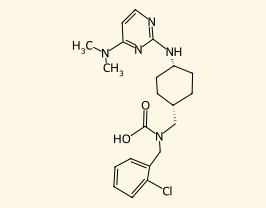 CN(C)c1ccnc(N[C@H]2CC[C@@H](CN(Cc3ccccc3Cl)C(=O)O)CC2)n1